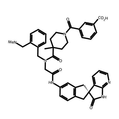 CNCc1ccccc1CN(CC(=O)Nc1ccc2c(c1)C[C@@]1(C2)C(=O)Nc2ncccc21)C(=O)C1(C)CCN(C(=O)c2cccc(C(=O)O)c2)CC1